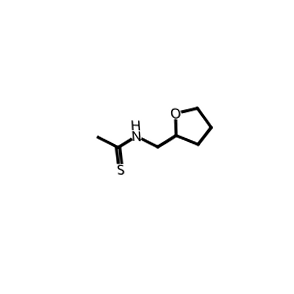 CC(=S)NCC1CCCO1